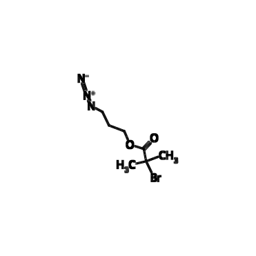 CC(C)(Br)C(=O)OCCCN=[N+]=[N-]